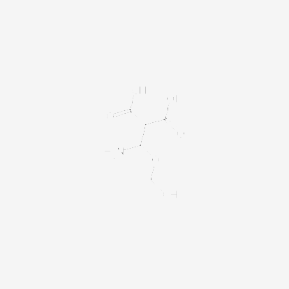 CCOC(N)C(C(C)=O)C(=O)O